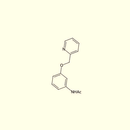 CC(=O)Nc1cccc(OCc2ccccn2)c1